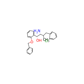 CC(Cc1ccccc1Cl)[C@@H](N)[C@H](O)c1ccccc1OCc1ccccc1